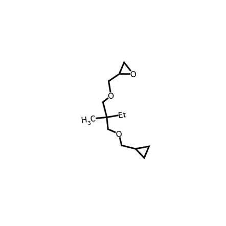 CCC(C)(COCC1CC1)COCC1CO1